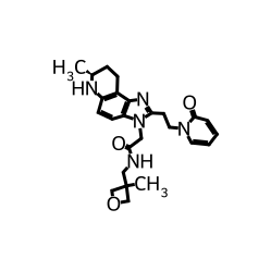 C[C@H]1CCc2c(ccc3c2nc(CCn2ccccc2=O)n3CC(=O)NCC2(C)COC2)N1